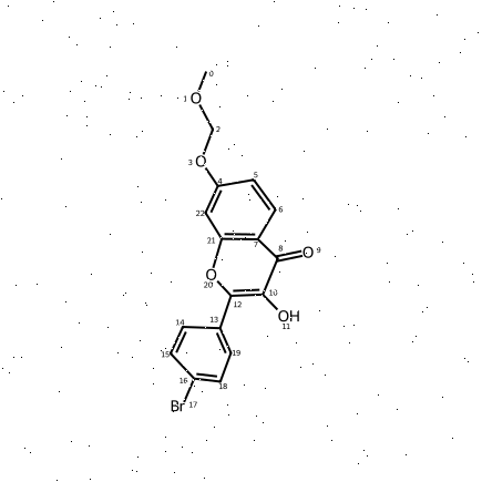 COCOc1ccc2c(=O)c(O)c(-c3ccc(Br)cc3)oc2c1